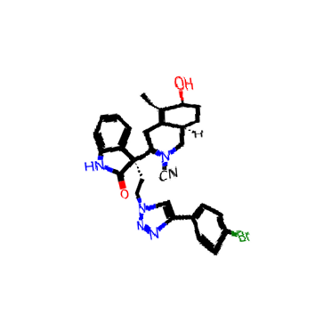 C[C@@H]1C2CC([C@@]3(CCn4cc(-c5ccc(Br)cc5)nn4)C(=O)Nc4ccccc43)N(C#N)C[C@@H]2CC[C@@H]1O